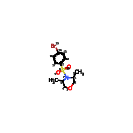 CC1COCC(C)N1S(=O)(=O)c1ccc(Br)cc1